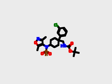 Cc1noc(C)c1N(C1CCC(CNC(=O)OC(C)(C)C)(c2cccc(Cl)c2)CC1)[SH](=O)=O